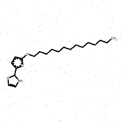 CCCCCCCCCCCCCCOc1ccc(C2NC=CO2)o1